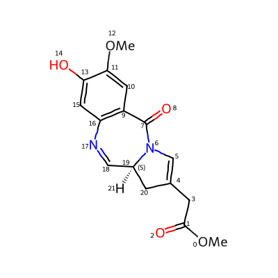 COC(=O)CC1=CN2C(=O)c3cc(OC)c(O)cc3N=C[C@@H]2C1